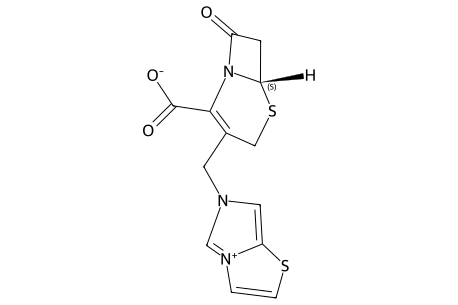 O=C([O-])C1=C(Cn2cc3scc[n+]3c2)CS[C@H]2CC(=O)N12